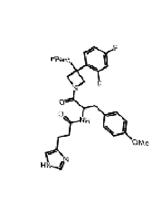 CCCCCC1(c2ccc(F)cc2F)CN(C(=O)C(Cc2ccc(OC)cc2)NC(=O)CCc2c[nH]cn2)C1